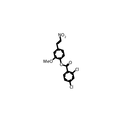 COc1cc(/C=C/[N+](=O)[O-])ccc1OC(=O)c1ccc(Cl)cc1Cl